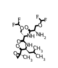 CC(C)C[C@H](NC(=O)[C@H](COC(F)F)NC(=O)[C@@H](N)COC(F)F)C(=O)[C@@]1(C)CO1